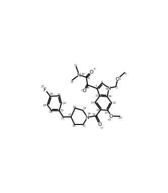 COCn1cc(C(=O)C(=O)N(C)C)c2cc(C(=O)N3CCC(Cc4ccc(F)cc4)CC3)c(OC)cc21